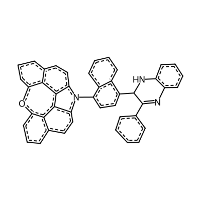 c1ccc(C2=Nc3ccccc3NC2c2ccc(-n3c4ccc5cccc6oc7cccc8ccc3c(c87)c4c56)c3ccccc23)cc1